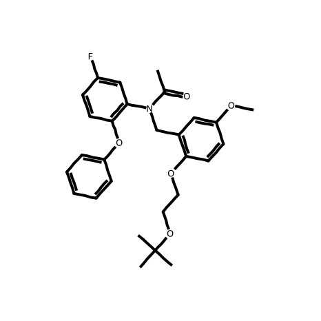 COc1ccc(OCCOC(C)(C)C)c(CN(C(C)=O)c2cc(F)ccc2Oc2ccccc2)c1